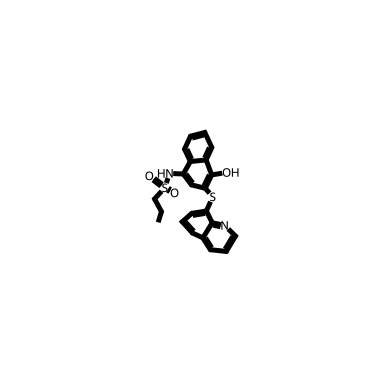 CCCS(=O)(=O)Nc1cc(Sc2cccc3cccnc23)c(O)c2ccccc12